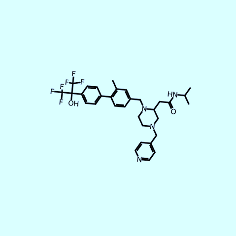 Cc1cc(CN2CCN(Cc3ccncc3)CC2CC(=O)NC(C)C)ccc1-c1ccc(C(O)(C(F)(F)F)C(F)(F)F)cc1